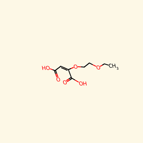 CCOCCO/C(=C/C(=O)O)C(=O)O